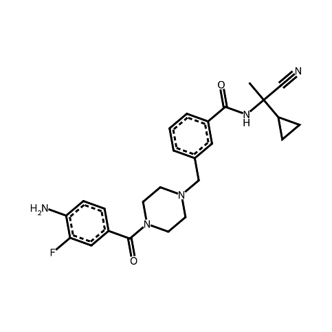 CC(C#N)(NC(=O)c1cccc(CN2CCN(C(=O)c3ccc(N)c(F)c3)CC2)c1)C1CC1